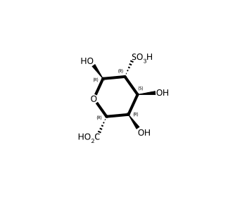 O=C(O)[C@@H]1O[C@@H](O)[C@H](S(=O)(=O)O)[C@@H](O)[C@H]1O